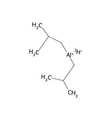 CC(C)[CH2][Al+][CH2]C(C)C.[2H-]